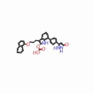 O=C(O)Oc1[nH]c2c(-c3ccc(-c4cc(=O)[nH][nH]4)cc3)cccc2c1CCCOc1cccc2ccccc12